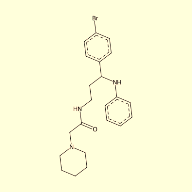 O=C(CN1CCCCC1)NCCC(Nc1ccccc1)c1ccc(Br)cc1